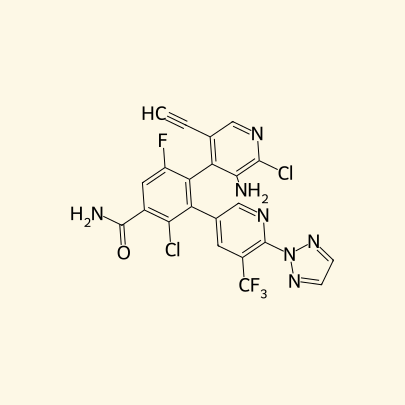 C#Cc1cnc(Cl)c(N)c1-c1c(F)cc(C(N)=O)c(Cl)c1-c1cnc(-n2nccn2)c(C(F)(F)F)c1